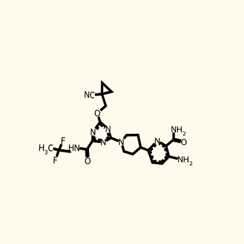 CC(F)(F)CNC(=O)c1nc(OCC2(C#N)CC2)nc(N2CCC(c3ccc(N)c(C(N)=O)n3)CC2)n1